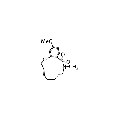 COc1ccc2c(c1)OC/C=C/CCCCN(C)S2(=O)=O